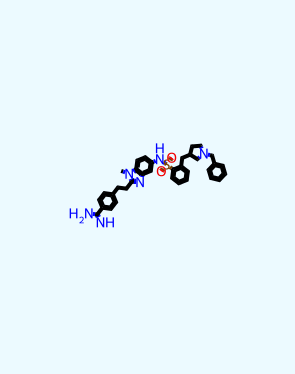 Cn1c(CCc2ccc(C(=N)N)cc2)nc2cc(NS(=O)(=O)c3ccccc3CC3CCN(Cc4ccccc4)C3)ccc21